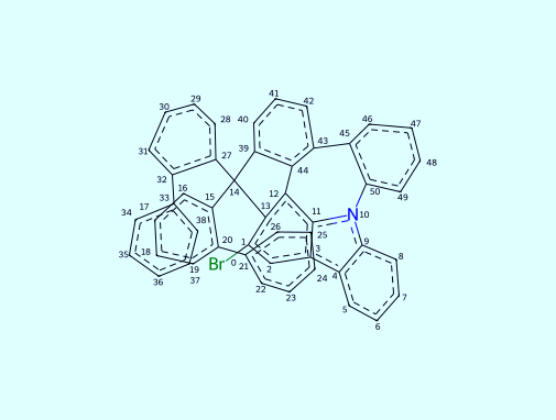 Brc1cc2c3ccccc3n3c2c2c1C(c1ccccc1-c1ccccc1)(c1ccccc1-c1ccccc1)c1cccc(c1-2)-c1ccccc1-3